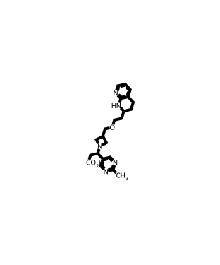 Cc1ncc(C(CC(=O)O)N2CC(COCCC3CCc4cccnc4N3)C2)cn1